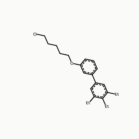 CCc1cc(-c2cccc(OCCCCCCl)c2)cc(CC)c1CC